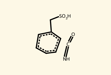 N=C=O.O=S(=O)(O)Cc1ccccc1